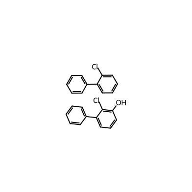 Clc1ccccc1-c1ccccc1.Oc1cccc(-c2ccccc2)c1Cl